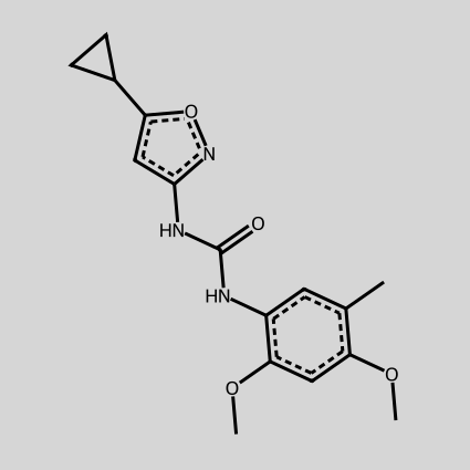 COc1cc(OC)c(NC(=O)Nc2cc(C3CC3)on2)cc1C